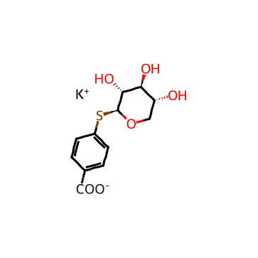 O=C([O-])c1ccc(S[C@@H]2OC[C@@H](O)[C@H](O)[C@H]2O)cc1.[K+]